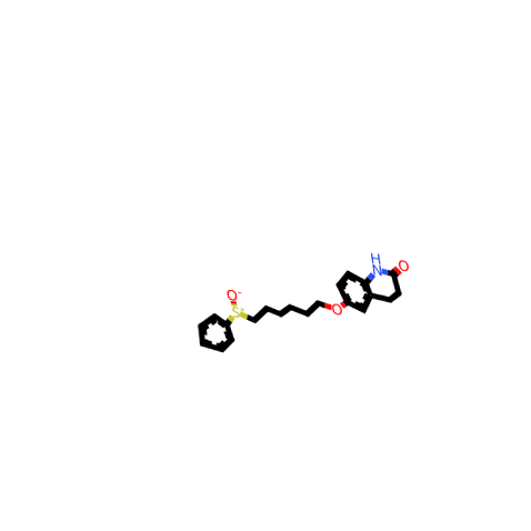 O=C1CCc2cc(OCCCCCC[S+]([O-])c3ccccc3)ccc2N1